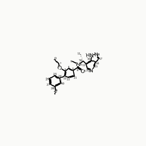 CCOc1cc(C(=O)N(C)[C@H](C)c2cncc3cn[nH]c23)ccc1-c1cccc(F)c1